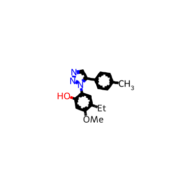 CCc1cc(-n2nncc2-c2ccc(C)cc2)c(O)cc1OC